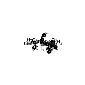 CC(C(=O)NC(C(=O)N1Cc2ccc(NC(=O)[C@]3(C)CN(C(=O)CN4C[C@@H](C)N(C(=O)OC(C)(C)C)C[C@@H]4CN4CCOC[C@H]4C)c4cc(Cc5ccc(F)cc5)ccc43)cc2[C@H]1C(=O)Nc1c(F)cccc1F)C1CCOCC1)N(C)C(=O)OC(C)(C)C